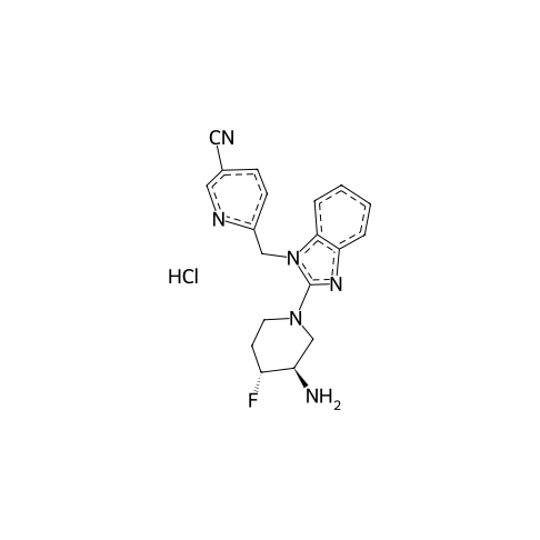 Cl.N#Cc1ccc(Cn2c(N3CC[C@@H](F)[C@H](N)C3)nc3ccccc32)nc1